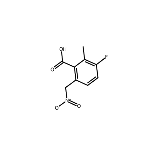 Cc1c(F)ccc(C[N+](=O)[O-])c1C(=O)O